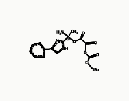 CC(C)(C)OC(=O)OC(=O)C(=O)O[C@](C)(N)c1nc(-c2ccccc2)c[nH]1